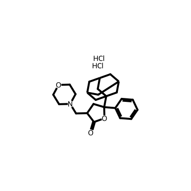 Cl.Cl.O=C1OC(c2ccccc2)(C23CC4CC(CC(C4)C2)C3)CC1CN1CCOCC1